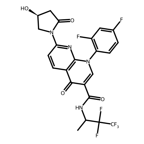 CC(NC(=O)c1cn(-c2ccc(F)cc2F)c2nc(N3C[C@@H](O)CC3=O)ccc2c1=O)C(F)(F)C(F)(F)F